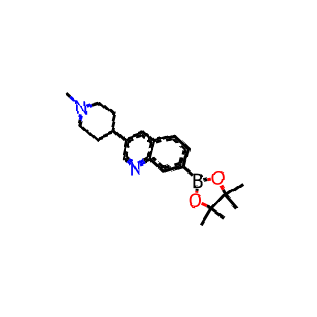 CN1CCC(c2cnc3cc(B4OC(C)(C)C(C)(C)O4)ccc3c2)CC1